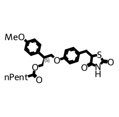 CCCCCC(=O)OC[C@H](COc1ccc(CC2SC(=O)NC2=O)cc1)c1ccc(OC)cc1